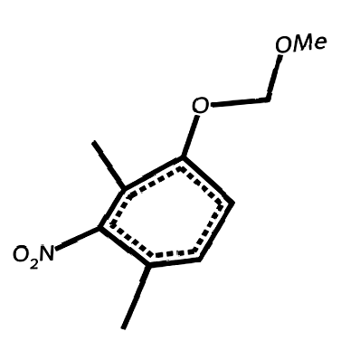 COCOc1ccc(C)c([N+](=O)[O-])c1C